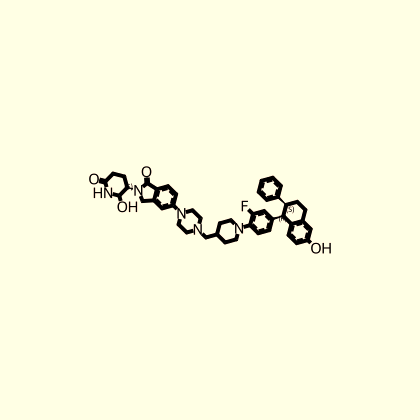 O=C1CC[C@H](N2Cc3cc(N4CCN(CC5CCN(c6ccc([C@@H]7c8ccc(O)cc8CC[C@@H]7c7ccccc7)cc6F)CC5)CC4)ccc3C2=O)C(O)N1